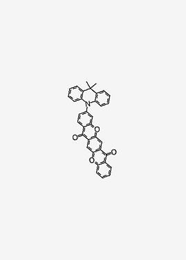 CC1(C)c2ccccc2N(c2ccc3c(=O)c4cc5oc6ccccc6c(=O)c5cc4oc3c2)c2ccccc21